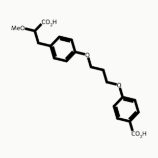 COC(Cc1ccc(OCCCOc2ccc(C(=O)O)cc2)cc1)C(=O)O